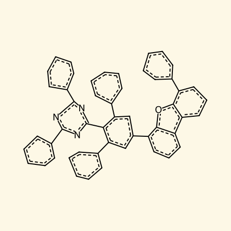 c1ccc(-c2nc(-c3ccccc3)nc(-c3c(-c4ccccc4)cc(-c4cccc5c4oc4c(-c6ccccc6)cccc45)cc3-c3ccccc3)n2)cc1